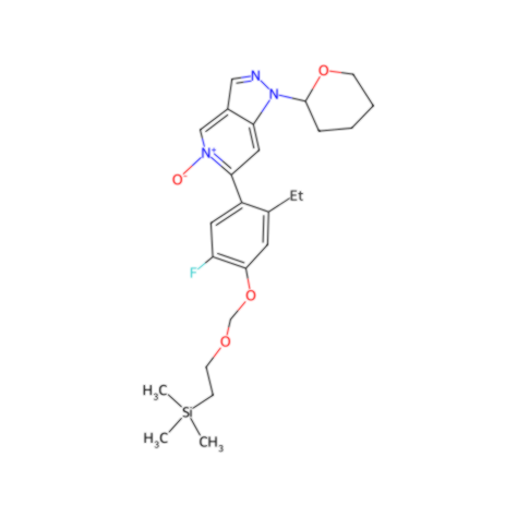 CCc1cc(OCOCC[Si](C)(C)C)c(F)cc1-c1cc2c(cnn2C2CCCCO2)c[n+]1[O-]